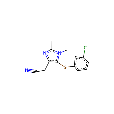 Cc1nc(CC#N)c(Sc2cccc(Cl)c2)n1C